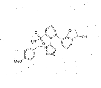 COc1ccc(Cn2nnnc2-c2c(-c3cccc4c3OCC4O)cccc2S(N)(=O)=O)cc1